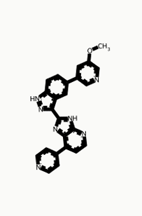 COc1cncc(-c2ccc3[nH]nc(-c4nc5c(-c6ccncc6)ccnc5[nH]4)c3c2)c1